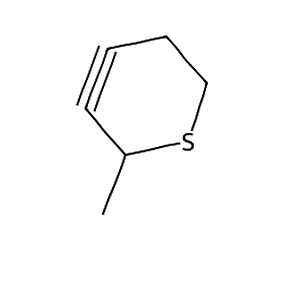 CC1C#CCCS1